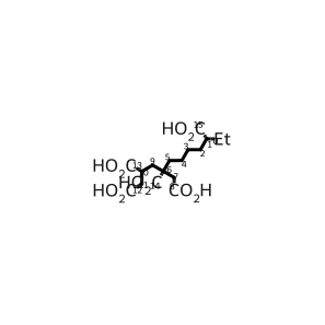 CCC(CCCCC(CC(=O)O)(CC(CC(=O)O)C(=O)O)C(=O)O)C(=O)O